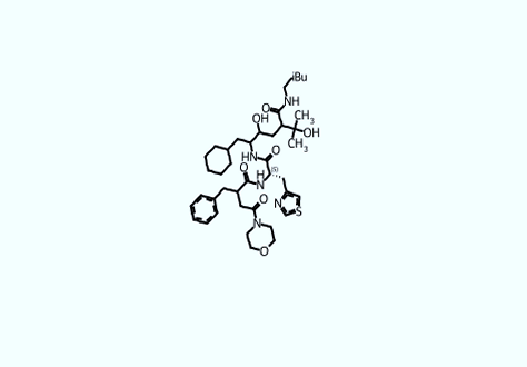 CCC(C)CNC(=O)C(CC(O)C(CC1CCCCC1)NC(=O)[C@H](Cc1cscn1)NC(=O)C(CC(=O)N1CCOCC1)Cc1ccccc1)C(C)(C)O